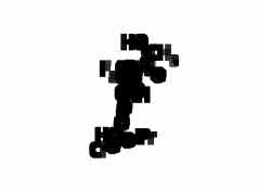 CC(C)c1ccc(-c2ccc(Cl)cc2)c([C@@H](O)C2CCN(c3ccc(C(=O)NS(=O)(=O)c4ccc(N[C@H](CCN(C)CCO)CSc5ccccc5)c(S(=O)(=O)C(F)(F)F)c4)cc3)CC2)c1